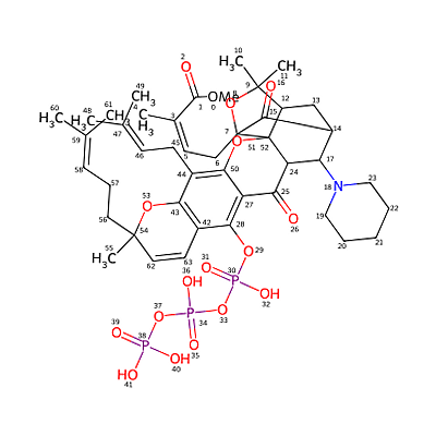 COC(=O)/C(C)=C\CC12OC(C)(C)C3CC(C1=O)C(N1CCCCC1)C1C(=O)c4c(OP(=O)(O)OP(=O)(O)OP(=O)(O)O)c5c(c(CC=C(C)C)c4OC132)OC(C)(CCC=C(C)C)C=C5